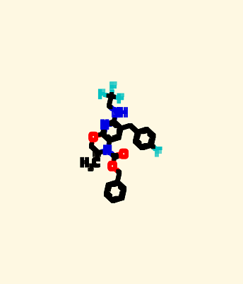 C[C@H]1COc2nc(NCC(F)(F)F)c(Cc3ccc(F)cc3)cc2N1C(=O)OCc1ccccc1